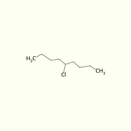 [CH2]CCCC(Cl)CCCC